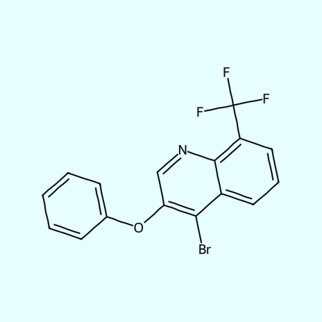 FC(F)(F)c1cccc2c(Br)c(Oc3ccccc3)cnc12